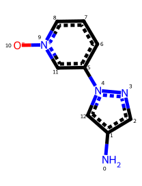 Nc1cnn(-c2ccc[n+]([O-])c2)c1